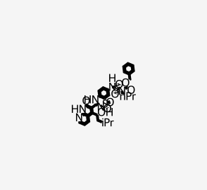 CCCN(C(=O)OCc1ccccc1)S(=O)(=O)Nc1ccc2c(c1)S(=O)(=O)N=C(c1c(C(O)CC(C)C)c3cccnc3[nH]c1=O)N2